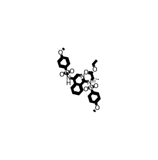 CCOC(=O)[C@H](C)N(c1ncc(NS(=O)(=O)c2ccc(OC)cc2)c2ccccc12)S(=O)(=O)c1ccc(OC)cc1